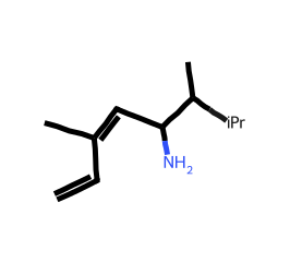 C=C/C(C)=C\C(N)C(C)C(C)C